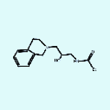 CCC(=O)NC[C@@H](O)CN1CCc2ccccc2C1